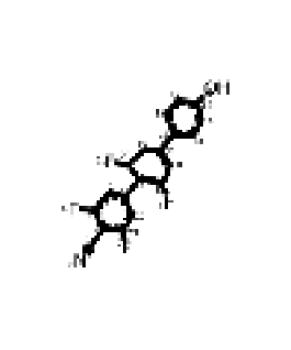 N#Cc1c(F)cc(C2=C(F)C=C(c3ccc(O)cc3)CC2F)cc1F